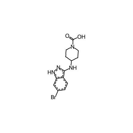 O=C(O)N1CCC(Nc2n[nH]c3cc(Br)ccc23)CC1